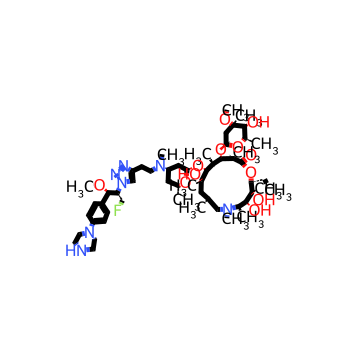 CC[C@H]1OC(=O)[C@H](C)[C@@H](O[C@H]2C[C@@](C)(OC)[C@@H](O)[C@H](C)O2)[C@H](C)[C@@H](O[C@H]2C[C@@H](N(C)CCc3cn([C@H](CF)[C@H](OC)c4ccc(N5CCNCC5)cc4)nn3)C[C@@H](C)O2)[C@](C)(O)C[C@@H](C)CN(C)[C@H](C)[C@@H](O)[C@]1(C)O